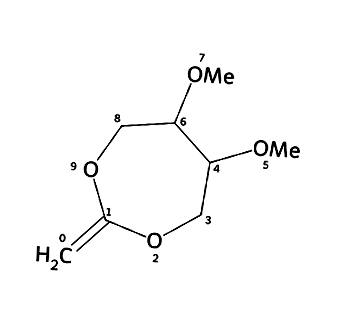 C=C1OCC(OC)C(OC)CO1